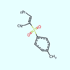 [C-]#[N+]C(=CCCC)S(=O)(=O)c1ccc(C)cc1